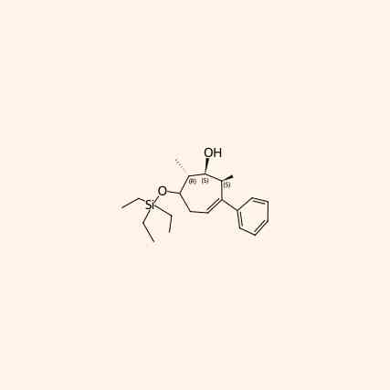 CC[Si](CC)(CC)OC1CC=C(c2ccccc2)[C@H](C)[C@H](O)[C@H]1C